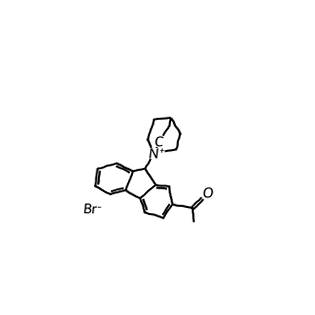 CC(=O)c1ccc2c(c1)C([N+]13CCC(CC1)CC3)c1ccccc1-2.[Br-]